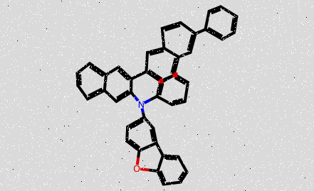 c1ccc(-c2ccc3cc(-c4cc5ccccc5cc4N(c4ccccc4)c4ccc5oc6ccccc6c5c4)ccc3c2)cc1